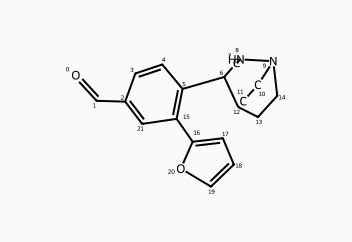 O=Cc1ccc(C2CNN3CCC2CC3)c(-c2ccco2)c1